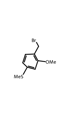 COc1cc(SC)ccc1CBr